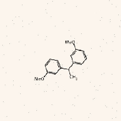 COc1cccc(C(C)c2cccc(OC)c2)c1